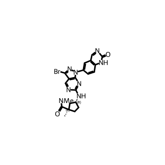 CNC(=O)[C@]1(C)CC[C@@H](Nc2ncc3c(Br)nn(-c4ccc5[nH]c(=O)ncc5c4)c3n2)C1